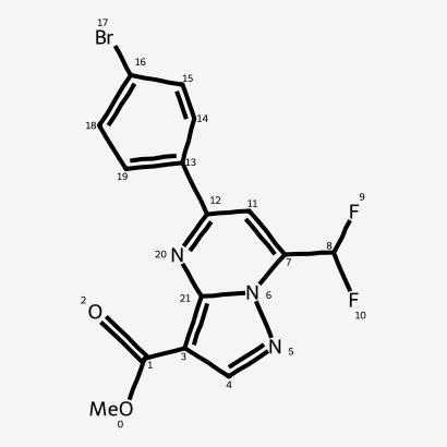 COC(=O)c1cnn2c(C(F)F)cc(-c3ccc(Br)cc3)nc12